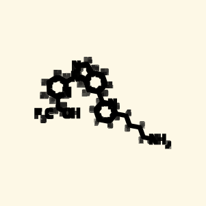 NCCCCc1cccc(-c2ccc3cnn(-c4cccc([C@H](O)C(F)(F)F)n4)c3c2)n1